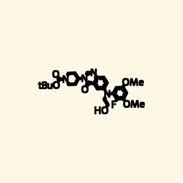 COc1cc(OC)c(F)c(N(CCO)c2ccc3ncn(C4CCN(C(=O)OC(C)(C)C)CC4)c(=O)c3c2)c1